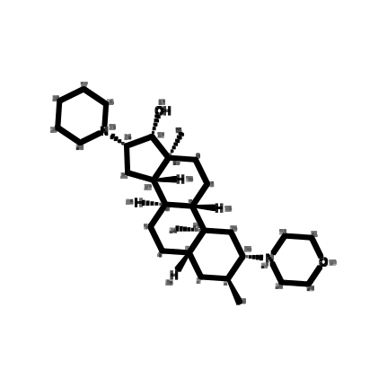 C[C@H]1C[C@@H]2CC[C@@H]3[C@H](CC[C@]4(C)[C@@H](O)[C@@H](N5CCCCC5)C[C@@H]34)[C@@]2(C)C[C@@H]1N1CCOCC1